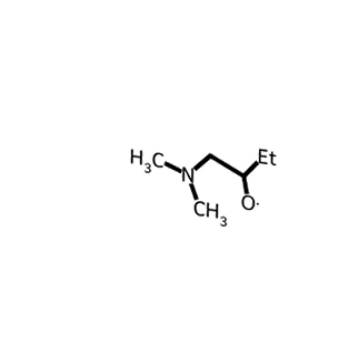 CCC([O])CN(C)C